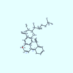 C#CC1=CC=CC/C1=C(\C=C/C)c1cc(OC(C(F)F)C(C)NCCN(C)C)c(C=C)cc1F